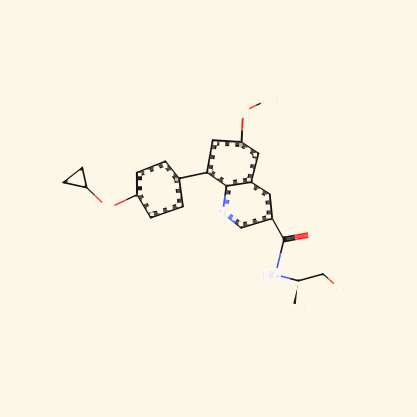 COc1cc(-c2ccc(OC3CC3)cc2)c2ncc(C(=O)N[C@H](C)CO)cc2c1